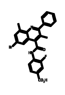 Cc1c(-c2ccccc2)nc2c(C)cc(Br)cc2c1C(=O)Nc1ccc(C(=O)O)cc1F